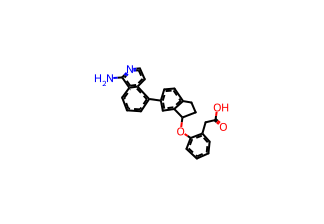 Nc1nccc2c(-c3ccc4c(c3)C(Oc3ccccc3CC(=O)O)CC4)cccc12